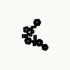 O=C(Nc1cccc(-c2nc3cc(N4CCCC4)ccc3[nH]2)c1)[C@@H]1CCCN1C(=O)CCc1ccccc1